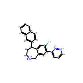 Fc1cc2c(cc1-c1cccnn1)CNCCC2c1ccc2ccccc2c1